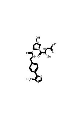 CCCC(=O)N[C@H](C(=O)N1C[C@H](O)C[C@H]1C(=O)NCc1ccc(-c2scnc2C)cc1)C(C)(C)C